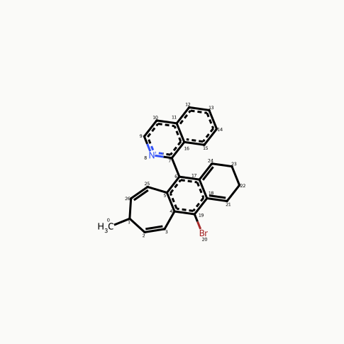 CC1C=Cc2c(c(-c3nccc4ccccc34)c3c(c2Br)=CCCC=3)C=C1